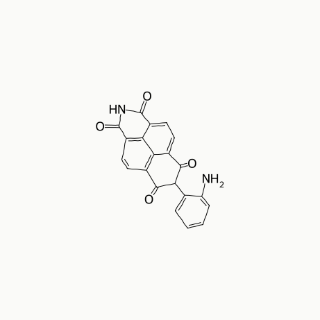 Nc1ccccc1C1C(=O)c2ccc3c4c(ccc(c24)C1=O)C(=O)NC3=O